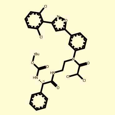 CC(C)(C)OC(=O)N[C@H](C(=O)NCCN(C(=O)C(Cl)Cl)c1cccc(-c2cc(-c3c(Cl)cccc3Cl)no2)c1)c1ccccc1